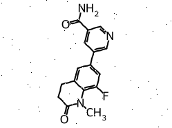 CN1C(=O)CCc2cc(-c3cncc(C(N)=O)c3)cc(F)c21